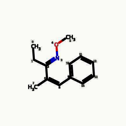 CCC(=NOC)C(C)=Cc1ccccc1